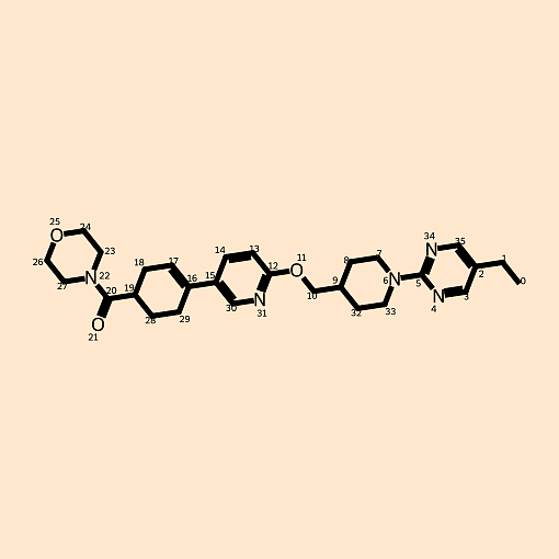 CCc1cnc(N2CCC(COc3ccc(C4=CCC(C(=O)N5CCOCC5)CC4)cn3)CC2)nc1